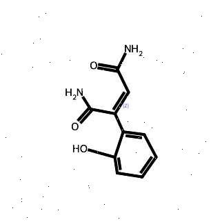 NC(=O)/C=C(\C(N)=O)c1ccccc1O